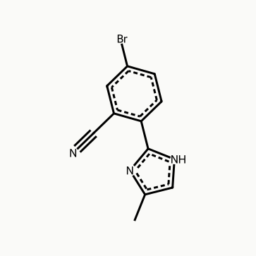 Cc1c[nH]c(-c2ccc(Br)cc2C#N)n1